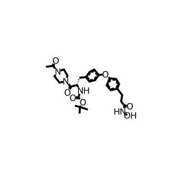 CC(=O)N1CCN(C(=O)[C@H](Cc2ccc(Oc3ccc(CCC(=O)NO)cc3)cc2)NC(=O)OC(C)(C)C)CC1